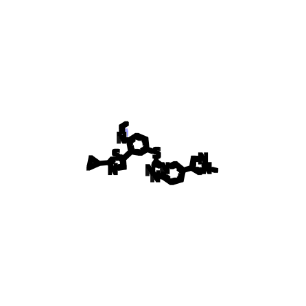 C/C=N\c1ccc(Sc2nnc3ccc(-c4cnn(C)c4)cn23)cc1-c1cnc(C2CC2)s1